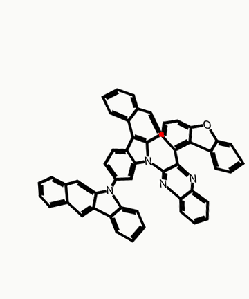 c1ccc2cc3c(cc2c1)c1ccccc1n3-c1ccc2c3c4ccccc4ccc3n(-c3nc4ccccc4nc3-c3cccc4oc5ccccc5c34)c2c1